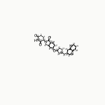 O=C1CCC(N2Cc3cc(O[C@H]4CCN(Cc5cnc6cccnc6c5)C4)ccc3C2=O)C(=O)N1